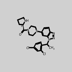 CC(c1ccc(Cl)cc1Cl)n1nnc2ccc(N3CCN(C(=O)[C@H]4CCCN4)CC3)cc21